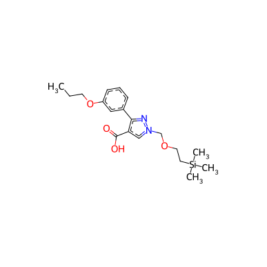 CCCOc1cccc(-c2nn(COCC[Si](C)(C)C)cc2C(=O)O)c1